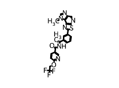 C[C@H](NC(=O)c1ccc(OCC(F)(F)F)nc1)c1cccc(-c2nc3c(ncc4ncn(C)c43)s2)c1